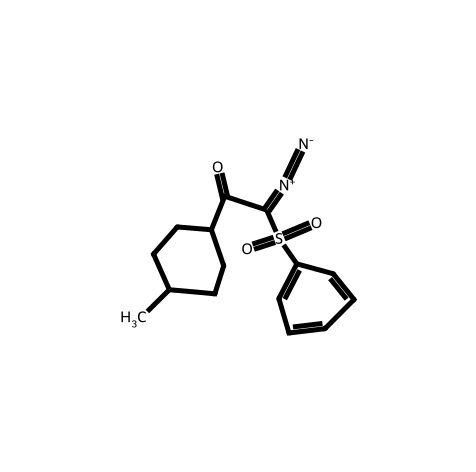 CC1CCC(C(=O)C(=[N+]=[N-])S(=O)(=O)c2ccccc2)CC1